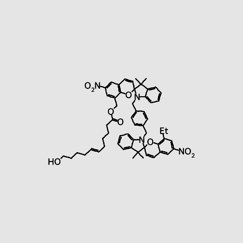 CCc1cc([N+](=O)[O-])cc2c1OC1(C=C2)N(Cc2ccc(CN3c4ccccc4C(C)(C)C34C=Cc3cc([N+](=O)[O-])cc(COC(=O)CCCC/C=C/CCCCO)c3O4)cc2)c2ccccc2C1(C)C